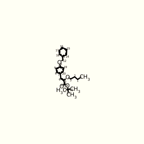 CCCCO/C(=C\c1ccc(OCc2ccccc2)cc1)C(=O)OC(C)(C)C